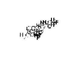 CC(C)N1CCCc2cc(N=Nc3nnc(C(=O)OC(F)(F)C(F)(F)F)s3)c(NS(=O)(=O)C(F)(F)F)cc21